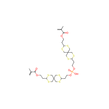 C=C(C)C(=O)OCCC1SCC2(CS1)CSC(CCOP(=O)(O)OCCC1SCC3(CSC(CCOC(=O)C(=C)C)SC3)CS1)SC2